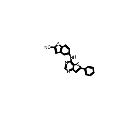 N#Cc1cc2cc(Nc3ncnc4cc(-c5ccccc5)sc34)ccc2s1